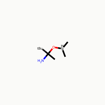 C[SiH](C)OC(C)(N)C(C)(C)C